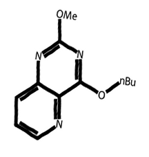 CCCCOc1nc(OC)nc2cccnc12